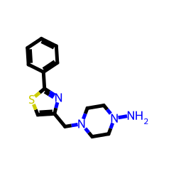 NN1CCN(Cc2csc(-c3ccccc3)n2)CC1